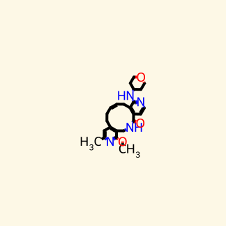 COc1nc(C)cc2c1CNC(=O)c1ccnc(NC3CCOCC3)c1C/C=C\CC2